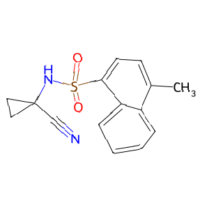 Cc1ccc(S(=O)(=O)NC2(C#N)CC2)c2ccccc12